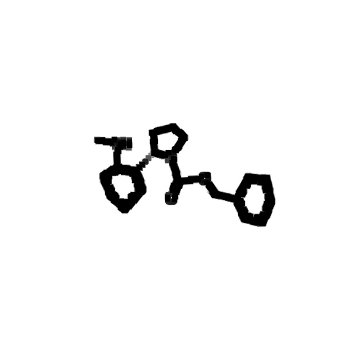 CNc1ccccc1[C@@H]1CCCN1C(=O)OCc1ccccc1